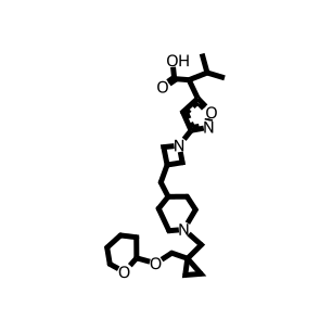 CC(C)C(C(=O)O)c1cc(N2CC(CC3CCN(CC4(COC5CCCCO5)CC4)CC3)C2)no1